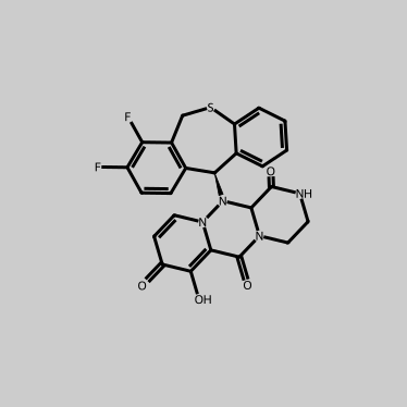 O=C1NCCN2C(=O)c3c(O)c(=O)ccn3N([C@@H]3c4ccccc4SCc4c3ccc(F)c4F)C12